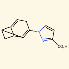 O=C(O)c1ccn(C2=C3C4CC3C4=CC2)n1